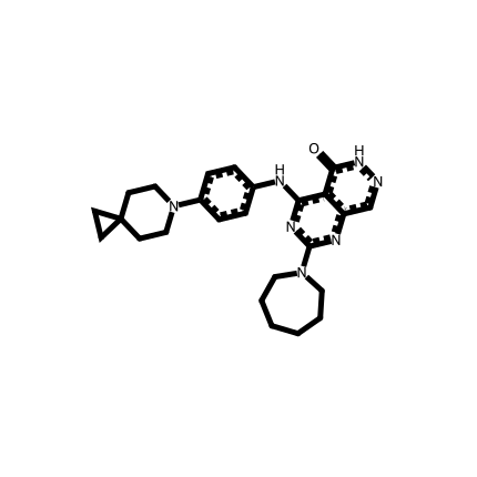 O=c1[nH]ncc2nc(N3CCCCCC3)nc(Nc3ccc(N4CCC5(CC4)CC5)cc3)c12